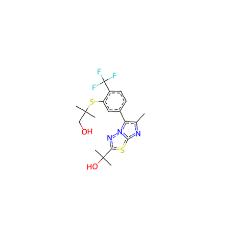 Cc1nc2sc(C(C)(C)O)nn2c1-c1ccc(C(F)(F)F)c(SC(C)(C)CO)c1